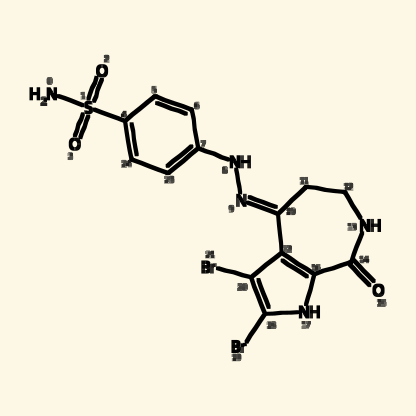 NS(=O)(=O)c1ccc(NN=C2CCNC(=O)c3[nH]c(Br)c(Br)c32)cc1